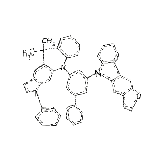 CC1(C)c2ccccc2N(c2cc(-c3ccccc3)cc(-n3c4ccccc4c4cc5occc5cc43)c2)c2cc3c(ccn3-c3ccccc3)cc21